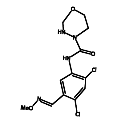 CO/N=C/c1cc(NC(=O)N2CCOCN2)c(Cl)cc1Cl